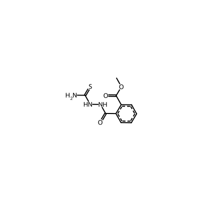 COC(=O)c1ccccc1C(=O)NNC(N)=S